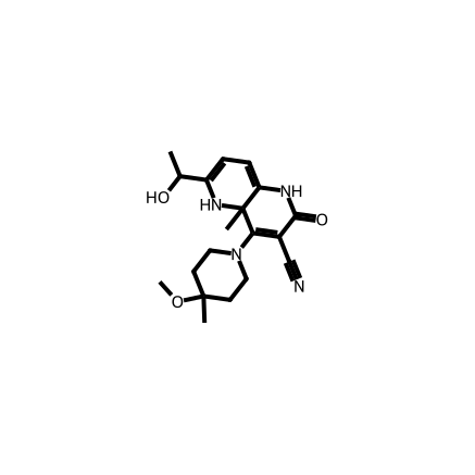 COC1(C)CCN(C2=C(C#N)C(=O)NC3=CC=C(C(C)O)NC32C)CC1